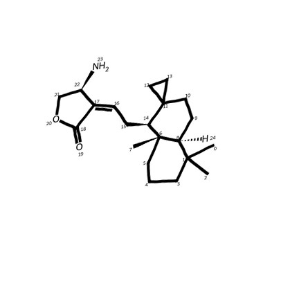 CC1(C)CCC[C@@]2(C)[C@H]1CCC1(CC1)[C@@H]2C/C=C1\C(=O)OC[C@H]1N